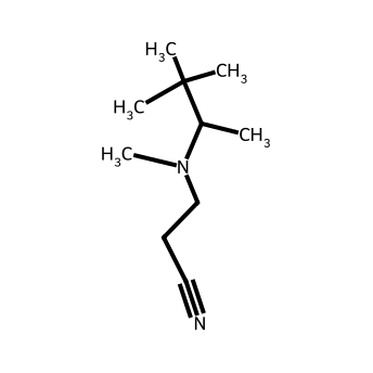 CC(N(C)CCC#N)C(C)(C)C